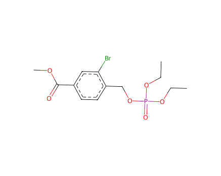 CCOP(=O)(OCC)OCc1ccc(C(=O)OC)cc1Br